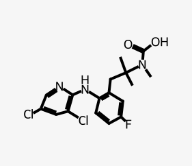 CN(C(=O)O)C(C)(C)Cc1cc(F)ccc1Nc1ncc(Cl)cc1Cl